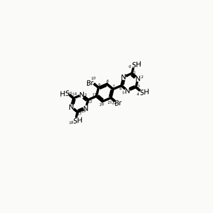 Sc1nc(S)nc(-c2cc(Br)c(-c3nc(S)nc(S)n3)cc2Br)n1